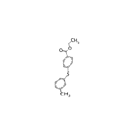 CCOC(=O)c1ccc(Sc2cccc(C)c2)cc1